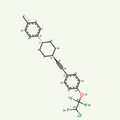 Cc1ccc([C@H]2CC[C@H](C#Cc3ccc(OC(F)(F)C(F)F)cc3)CC2)cc1